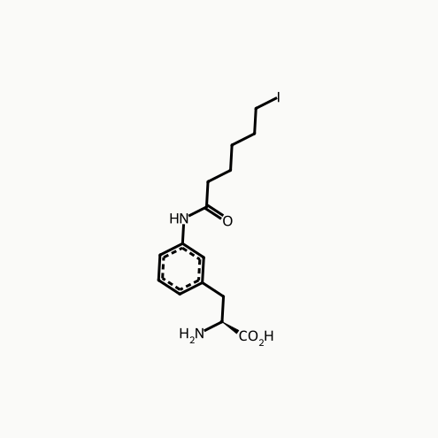 N[C@@H](Cc1cccc(NC(=O)CCCCCI)c1)C(=O)O